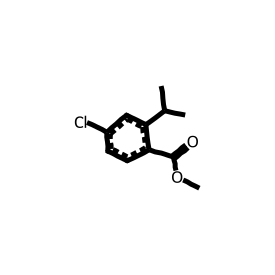 COC(=O)c1ccc(Cl)cc1C(C)C